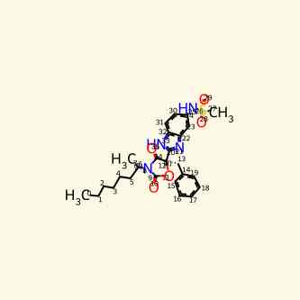 CCCCCC[C@@H](C)N1C(=O)O[C@](Cc2ccccc2)(c2nc3cc(NS(C)(=O)=O)ccc3[nH]2)C1=O